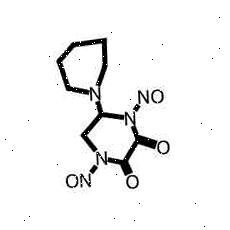 O=NN1CC(N2CCCCC2)N(N=O)C(=O)C1=O